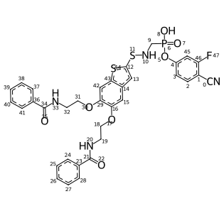 N#Cc1ccc(OP(=O)(O)CNSc2cc3cc(OCCNC(=O)c4ccccc4)c(OCCNC(=O)c4ccccc4)cc3s2)cc1F